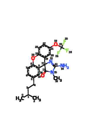 CC(C)CCc1ccc2c(c1)C1(N=C(N)N(C)C1=O)c1cc(OC(F)(F)F)ccc1O2